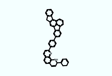 C1=CCCC(C2C=Cc3ccc4ccc(-c5ccc(-c6ccc7c(c6)-c6cc8c(c9cccc-7c69)-c6ccccc6C8)cc5)nc4c3N2)=C1